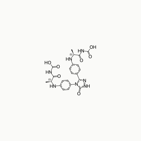 C[C@H](Nc1ccc(-c2n[nH]c(=O)n2-c2ccc(N[C@@H](C)C(=O)NC(=O)O)cc2)cc1)C(=O)NC(=O)O